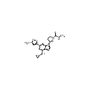 CNC(=O)[C@@H]1CC[C@H](n2cnc3c(NC4CC4)nc(-n4cc(C)nn4)nc32)O1